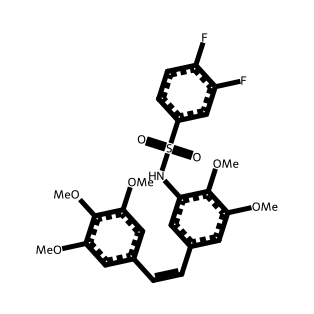 COc1cc(/C=C\c2cc(OC)c(OC)c(OC)c2)cc(NS(=O)(=O)c2ccc(F)c(F)c2)c1OC